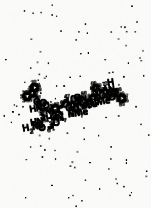 C=CCOC(=O)N(C)Cc1cc(NC(=O)[C@H](CCCNC(N)=O)NC(=O)OCC2c3ccccc3-c3ccccc32)ccc1CCC(C)C(OC(=O)NC)C(=O)NC(C(=O)N(C)C([C@@H](C)CC)[C@@H](CC(=O)N1CCC[C@H]1[C@H](OC)[C@@H](C)C(=O)N[C@H](C)[C@@H](O)c1ccccc1)OC)C(C)C